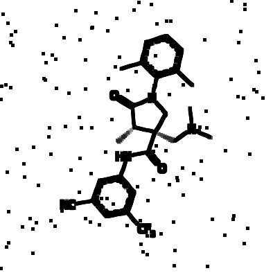 Cc1cccc(C)c1N1C[C@@](CN(C)C)(C(=O)Nc2cc(C#N)cc(C(F)(F)F)c2)[C@H](C)C1=O